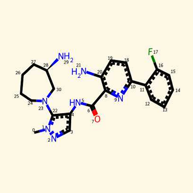 Cn1ncc(NC(=O)c2nc(-c3ccccc3F)ccc2N)c1N1CCCC[C@@H](N)C1